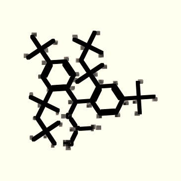 CC(C)(C)CC(C)(C)c1cc(C(C)(C)C)ccc1C(OP(O)F)c1ccc(C(C)(C)C)cc1C(C)(C)CC(C)(C)C